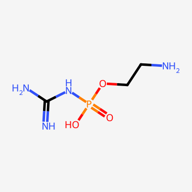 N=C(N)NP(=O)(O)OCCN